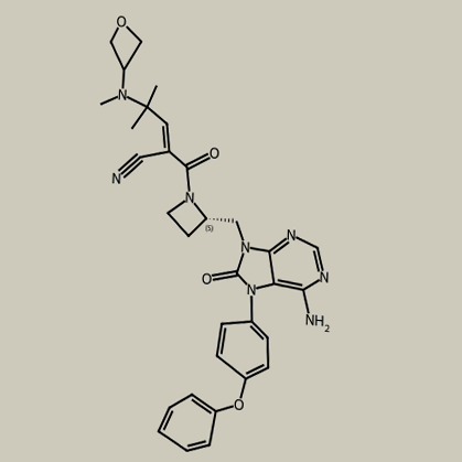 CN(C1COC1)C(C)(C)C=C(C#N)C(=O)N1CC[C@H]1Cn1c(=O)n(-c2ccc(Oc3ccccc3)cc2)c2c(N)ncnc21